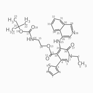 CCn1nc(-c2cccs2)c(C(=O)OCCNC(=O)OC(C)(C)C)c(Nc2cncc3ccccc23)c1=O